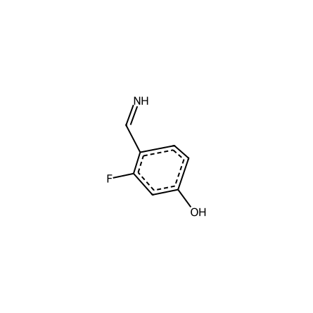 N=Cc1ccc(O)cc1F